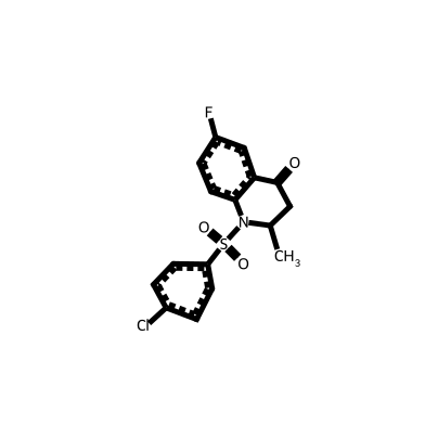 CC1CC(=O)c2cc(F)ccc2N1S(=O)(=O)c1ccc(Cl)cc1